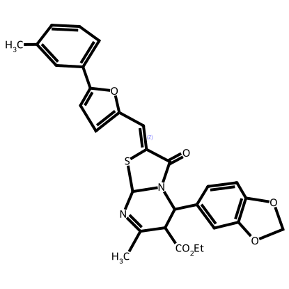 CCOC(=O)C1C(C)=NC2S/C(=C\c3ccc(-c4cccc(C)c4)o3)C(=O)N2C1c1ccc2c(c1)OCO2